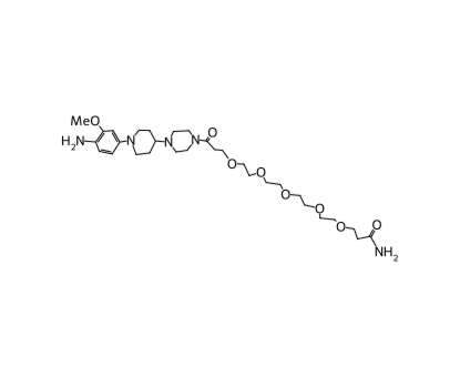 COc1cc(N2CCC(N3CCN(C(=O)CCOCCOCCOCCOCCOCCC(N)=O)CC3)CC2)ccc1N